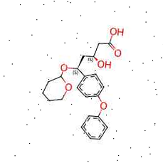 O=C(O)C[C@@H](O)C[C@H](OC1CCCCO1)c1ccc(Oc2ccccc2)cc1